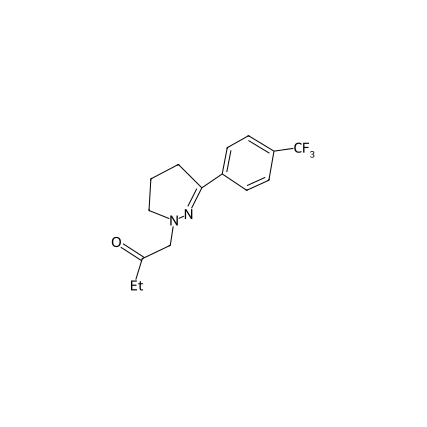 CCC(=O)CN1CCCC(c2ccc(C(F)(F)F)cc2)=N1